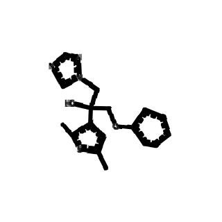 Cc1cc(C(O)(COc2ccccc2)Cn2cncn2)c(C)s1